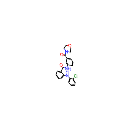 O=C(Nc1cccc(C(=O)N2CCOCC2)c1)c1ccccc1Nc1ccccc1Cl